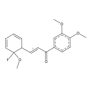 COc1ccc(C(=O)/C=C/C2C=CC=CC2(F)OC)cc1OC